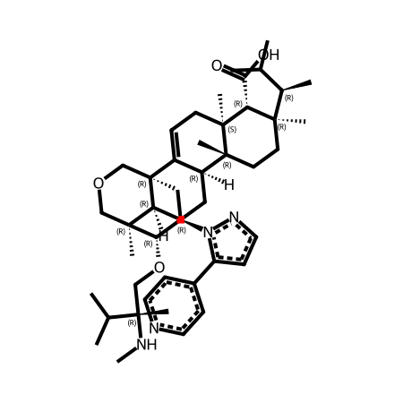 CN[C@@](C)(CO[C@H]1[C@H](n2nccc2-c2ccncc2)C[C@@]23COC[C@@]1(C)[C@@H]2CC[C@H]1C3=CC[C@@]2(C)[C@H](C(=O)O)[C@@](C)([C@H](C)C(C)C)CC[C@]12C)C(C)C